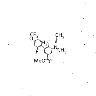 CC#CN(C)c1cc(C(=O)OC)cc(-c2ccc(OC(F)(F)F)cc2F)c1C